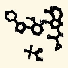 COc1c(Nc2cc(NC(=O)C3CC3)nc3cc[nH]c(=O)c23)cccc1-c1cnn(C2CCOCC2)c1.O=C(O)C(F)(F)F